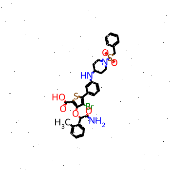 Cc1ccccc1C(Oc1c(C(=O)O)sc(-c2cccc(NC3CCN(S(=O)(=O)Cc4ccccc4)CC3)c2)c1Br)C(N)=O